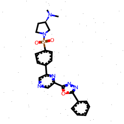 CN(C)[C@@H]1CCN(S(=O)(=O)c2ccc(-c3cncc(-c4nnc(-c5ccccc5)o4)n3)cc2)C1